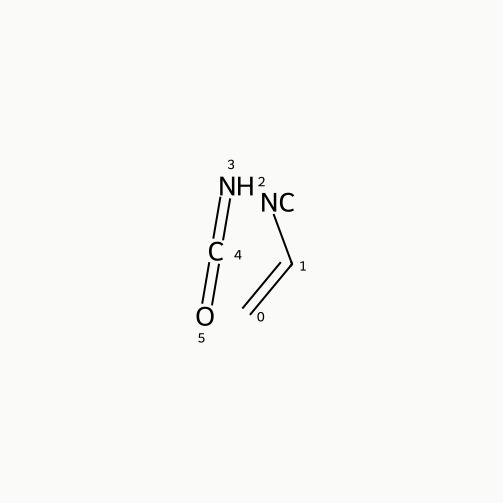 C=CC#N.N=C=O